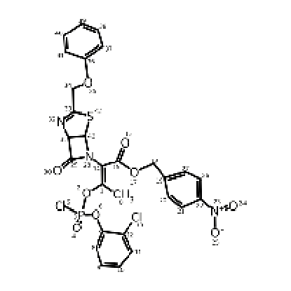 CC(OP(=O)(Cl)Oc1ccccc1Cl)=C(C(=O)OCc1ccc([N+](=O)[O-])cc1)N1C(=O)C2N=C(COc3ccccc3)SC21